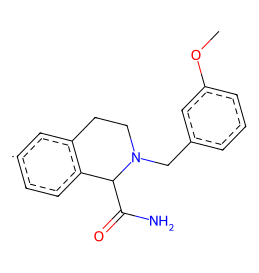 COc1cccc(CN2CCc3c[c]ccc3C2C(N)=O)c1